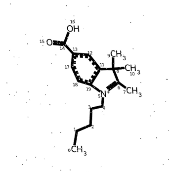 CCCCC[N+]1=C(C)C(C)(C)c2cc(C(=O)O)ccc21